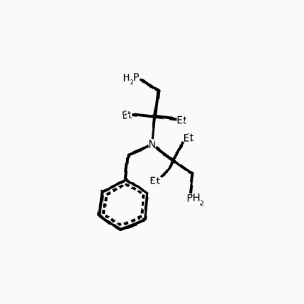 CCC(CC)(CP)N(Cc1ccccc1)C(CC)(CC)CP